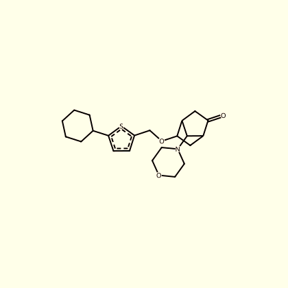 O=C1CC2C(OCc3ccc(C4CCCCC4)s3)CC1C2N1CCOCC1